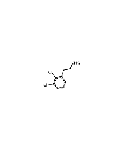 O=CCCc1cccc(Cl)c1Cl